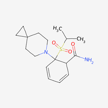 CC(C)S(=O)(=O)C1(N2CCC3(CC2)CC3)C=CC=CC1C(N)=O